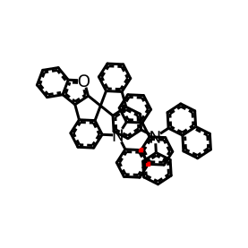 c1ccc(-c2ccccc2N(c2ccccc2)c2cccc3c2C2(c4ccccc4-c4cc(N(c5ccccc5)c5cccc6ccccc56)ccc42)c2oc4ccccc4c2-3)cc1